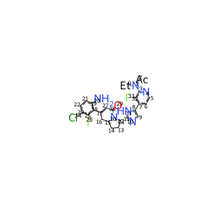 CCN(C(C)=O)c1nccc(-c2cnc([C@@H]3CCC4CC(c5c(N)ccc(Cl)c5F)=CC(=O)N43)[nH]2)c1F